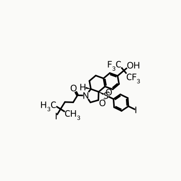 CC(C)(I)CCC(=O)N1CC[C@@]2(S(=O)(=O)c3ccc(I)cc3)c3ccc(C(O)(C(F)(F)F)C(F)(F)F)cc3CC[C@@H]12